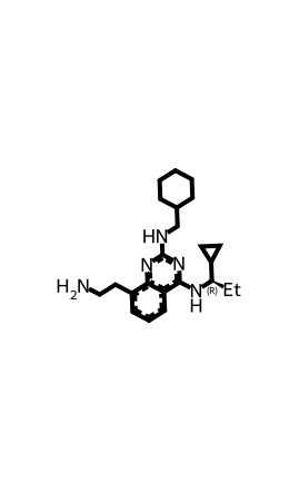 CC[C@@H](Nc1nc(NCC2CCCCC2)nc2c(CCN)cccc12)C1CC1